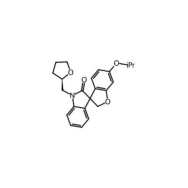 CC(C)Oc1ccc2c(c1)OCC21C(=O)N(C[C@H]2CCCO2)c2ccccc21